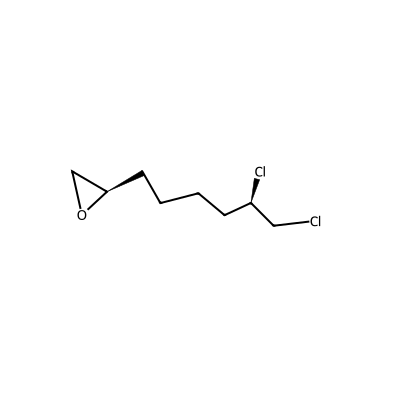 ClC[C@H](Cl)CCCC[C@@H]1CO1